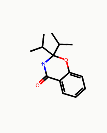 CC(C)C1(C(C)C)[N]C(=O)c2ccccc2O1